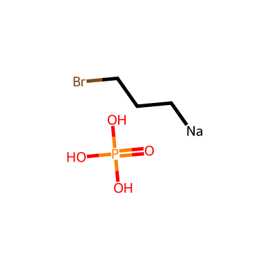 O=P(O)(O)O.[Na][CH2]CCBr